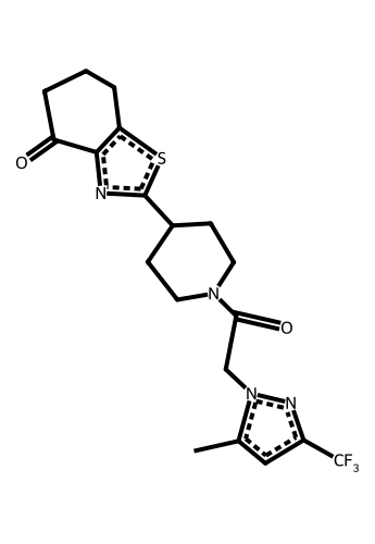 Cc1cc(C(F)(F)F)nn1CC(=O)N1CCC(c2nc3c(s2)CCCC3=O)CC1